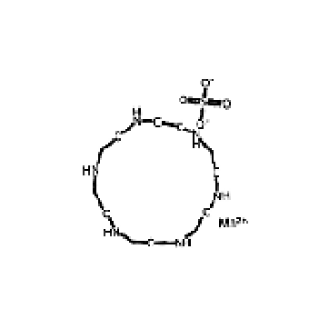 C1CNCCNCCNCCNCCNCCN1.O=S(=O)([O-])[O-].[Mn+2]